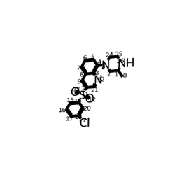 CC1CN(c2cccc3cc(S(=O)(=O)c4cccc(Cl)c4)cnc23)CCN1